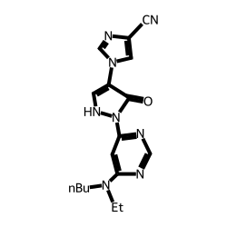 CCCCN(CC)c1cc(-n2[nH]cc(-n3cnc(C#N)c3)c2=O)ncn1